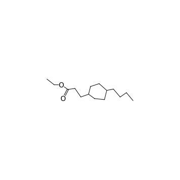 CCCCC1CCC(CCC(=O)OCC)CC1